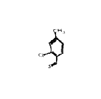 Cc1ccc(C=S)c(Cl)c1